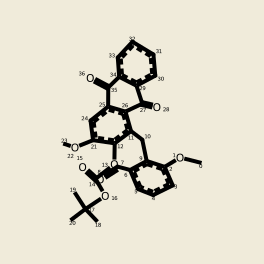 COc1cccc(C=O)c1Cc1c(OC(=O)OC(C)(C)C)c(OC)cc2c1C(=O)c1ccccc1C2=O